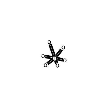 [O]=[Ti](=[O])(=[O])(=[O])(=[O])=[O]